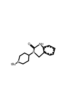 CC(C)(C)N1CCC(N2Cc3ccccc3NC2=O)CC1